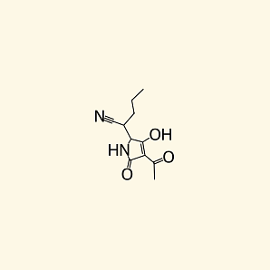 CCCC(C#N)C1NC(=O)C(C(C)=O)=C1O